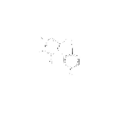 Nc1ncc(C(F)(F)F)cc1-c1c([N+](=O)[O-])cc(C(F)(F)F)c(Cl)c1[N+](=O)[O-]